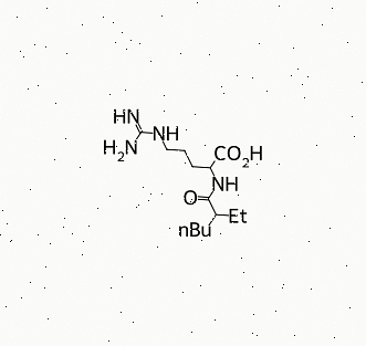 CCCCC(CC)C(=O)NC(CCCNC(=N)N)C(=O)O